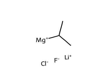 C[CH](C)[Mg+].[Cl-].[F-].[Li+]